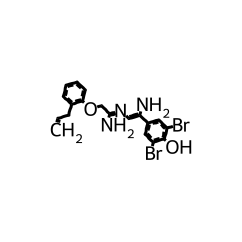 C=CCc1ccccc1OC/C(N)=N/C=C(\N)c1cc(Br)c(O)c(Br)c1